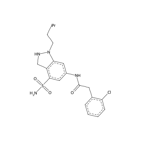 CC(C)CCN1NCc2c1cc(NC(=O)Cc1ccccc1Cl)cc2S(N)(=O)=O